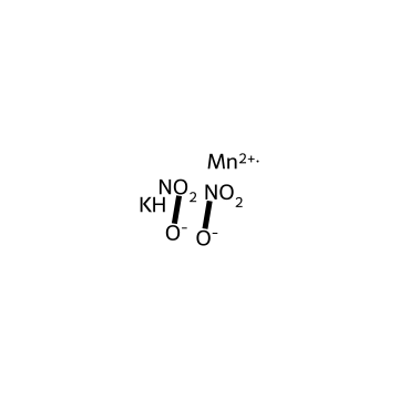 O=[N+]([O-])[O-].O=[N+]([O-])[O-].[KH].[Mn+2]